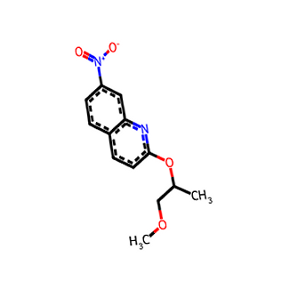 COCC(C)Oc1ccc2ccc([N+](=O)[O-])cc2n1